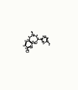 Cc1cnc(C2CN(C)Cc3ccc(Cl)nc3O2)s1